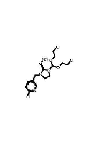 O=[N+]([O-])N=C1N(Cc2ccc(Cl)nc2)CCN1C(OCCCl)OCCCl